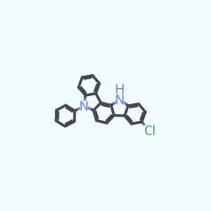 Clc1ccc2[nH]c3c(ccc4c3c3ccccc3n4-c3ccccc3)c2c1